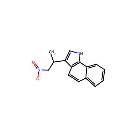 CC(C[N+](=O)[O-])c1c[nH]c2c1ccc1ccccc12